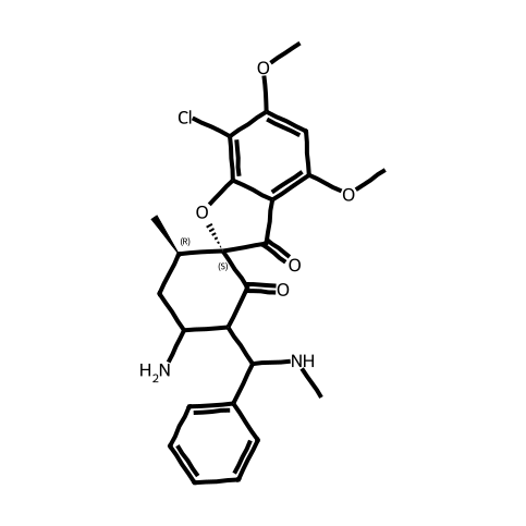 CNC(c1ccccc1)C1C(=O)[C@@]2(Oc3c(Cl)c(OC)cc(OC)c3C2=O)[C@H](C)CC1N